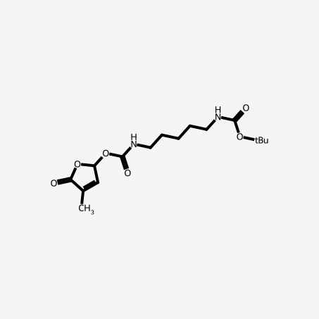 CC1=CC(OC(=O)NCCCCCNC(=O)OC(C)(C)C)OC1=O